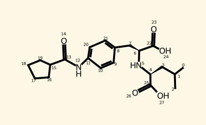 CC(C)C[C@H](N[C@@H](Cc1ccc(NC(=O)C2CCCC2)cc1)C(=O)O)C(=O)O